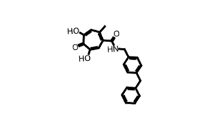 Cc1cc(O)c(=O)c(O)cc1C(=O)NCc1ccc(Cc2ccccc2)cc1